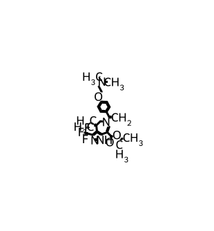 C=C(c1ccc(OCCN(C)C)cc1)N1C=C(C(=O)OC(C)C)c2[nH]nc(C(F)(F)F)c2C(C)(C)C1